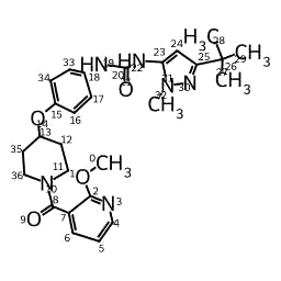 COc1ncccc1C(=O)N1CCC(Oc2ccc(NC(=O)Nc3cc(C(C)(C)C)nn3C)cc2)CC1